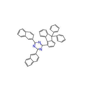 c1ccc(C2(c3ccccc3)c3ccccc3-c3c(-c4nc(-c5ccc6ccccc6c5)nc(-c5ccc6ccccc6c5)n4)cccc32)cc1